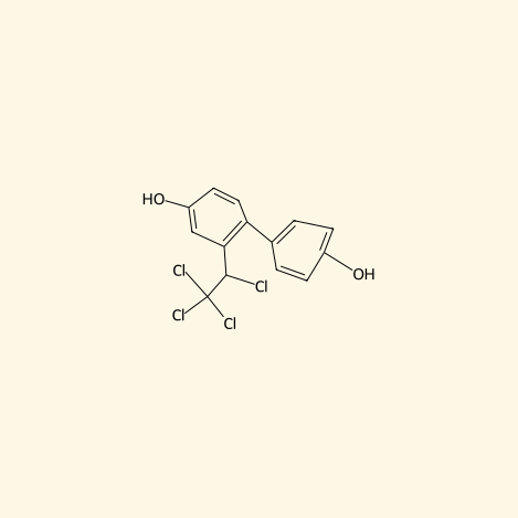 Oc1ccc(-c2ccc(O)cc2C(Cl)C(Cl)(Cl)Cl)cc1